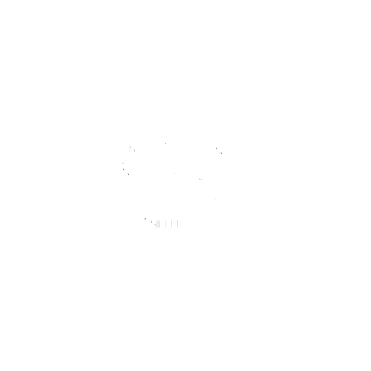 C/N=C(\c1cn[nH]c1NC)C(C)C